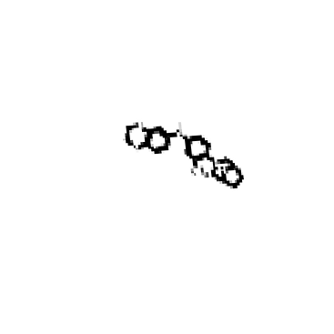 Cc1cc(Nc2ccc3c(c2)OCCN3)ccc1N1CC2CCC(C1)O2